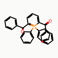 O=C(C1=CC=CC(C(=O)c2ccccc2)=P1(c1ccccc1)c1ccccc1)c1ccccc1